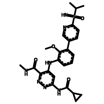 CNC(=O)c1nnc(NC(=O)C2CC2)cc1Nc1cccc(-c2ccc(S(=N)(=O)C(C)C)nc2)c1OC